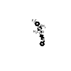 C[C@@H]1CN(c2ccc(C(F)(F)F)cc2)[C@@H](C)CN1C(=O)OC1CC2(C1)CN(Cc1ccccc1)C2